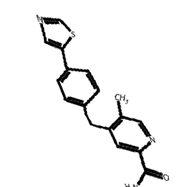 Cc1cnc(C(N)=O)cc1Cc1ccc(-c2cncs2)cc1